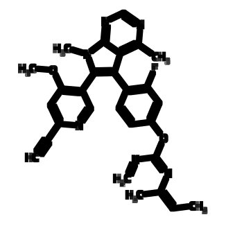 C#Cc1cc(OC)c(-c2c(-c3ccc(O/C(N=C)=N/C(C)=C\C)cc3F)c3c(C)ncnc3n2C)cn1